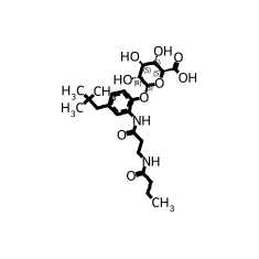 CCCC(=O)NCCC(=O)Nc1cc(CC(C)(C)C)ccc1O[C@@H]1O[C@H](C(=O)O)[C@@H](O)[C@H](O)[C@H]1O